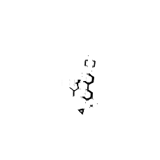 C[C@@H](Oc1nc(-c2ccc(N3CCNCC3)nc2)cc2ncn(C3CC3)c12)C1CNC(=O)C1